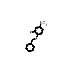 O=[N+]([O-])c1ccc(SCc2ccccc2)c(F)c1